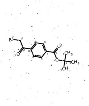 CC(C)(C)OC(=O)c1ccc(C(=O)CBr)cc1